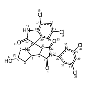 O=C1C2C3C[C@H](O)CN3C3(C(=O)Nc4c(Cl)cc(Cl)cc43)C2C(=O)N1c1cc(Cl)cc(Cl)n1